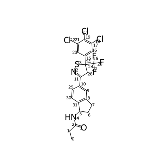 CCC(=O)NC1CCc2cc(C3=NSC(c4cc(Cl)c(Cl)c(Cl)c4)(C(F)(F)F)C3)ccc21